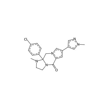 CN1CCN2C(=O)c3cc(-c4cnn(C)c4)cn3CC12c1ccc(Cl)cc1